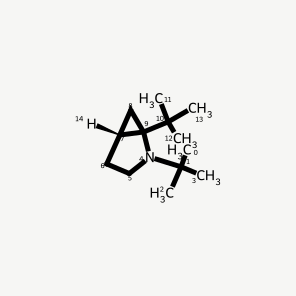 CC(C)(C)N1CC[C@@H]2CC21C(C)(C)C